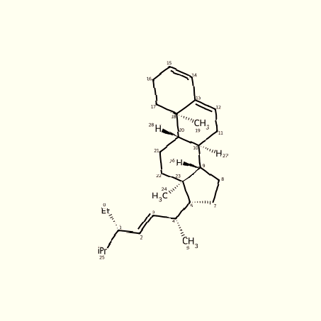 CC[C@H](C=C[C@@H](C)[C@H]1CC[C@H]2[C@@H]3CC=C4C=CCC[C@]4(C)[C@H]3CC[C@]12C)C(C)C